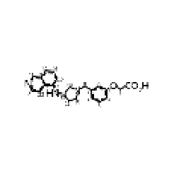 O=C(O)COc1cccc(CN2CC[C@@H](Nc3cccc4cnccc34)C2)c1